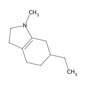 CCC1CCC2=C(C1)N(C)CC2